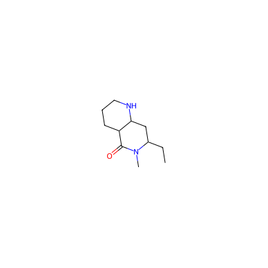 CCC1CC2NCCCC2C(=O)N1C